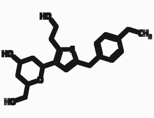 CCc1ccc(Cc2cc(C3CC(O)CC(CO)O3)c(CCO)s2)cc1